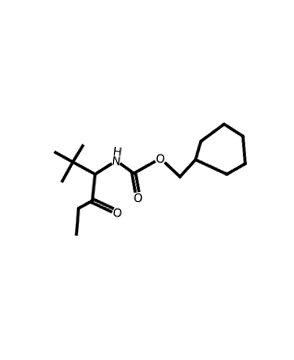 CCC(=O)C(NC(=O)OCC1CCCCC1)C(C)(C)C